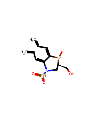 C=C/C=C1\C(=C/C=C)[S+]([O-])[C@@H](CO)CN1[SH](=O)=O